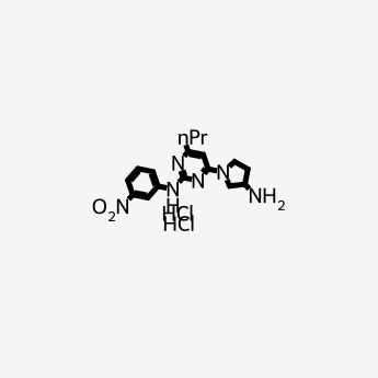 CCCc1cc(N2CCC(N)C2)nc(Nc2cccc([N+](=O)[O-])c2)n1.Cl.Cl